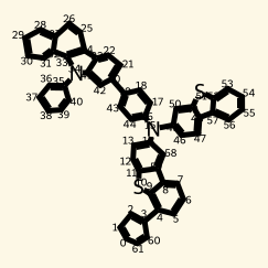 c1ccc(-c2cccc3c2sc2ccc(N(c4ccc(-c5ccc6c7ccc8ccccc8c7n(-c7ccccc7)c6c5)cc4)c4ccc5c(c4)sc4ccccc45)cc23)cc1